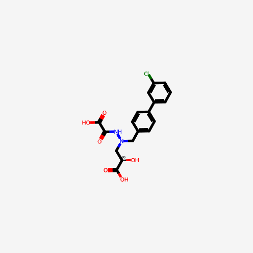 O=C(O)C(=O)NN(Cc1ccc(-c2cccc(Cl)c2)cc1)C[C@@H](O)C(=O)O